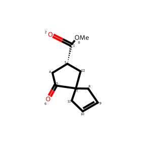 COC(=O)[C@H]1CC(=O)C2(CC=CC2)C1